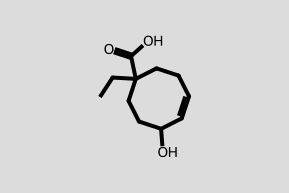 CCC1(C(=O)O)CC/C=C\C(O)CC1